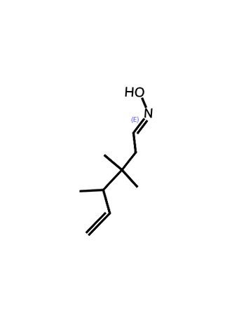 C=CC(C)C(C)(C)C/C=N/O